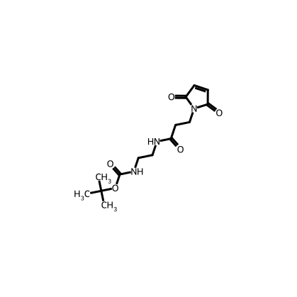 CC(C)(C)OC(=O)NCCNC(=O)CCN1C(=O)C=CC1=O